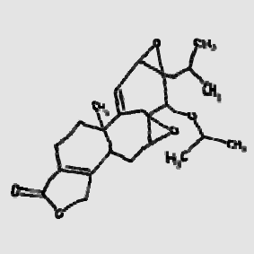 CC(C)OC1C23OC2CC2C4=C(CCC2(C)C3=CC2OC21C(C)C)C(=O)OC4